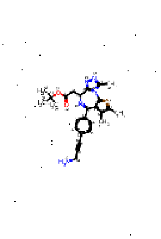 Cc1sc2c(c1C)C(c1ccc(C#CCN)cc1)=NC(CC(=O)OC(C)(C)C)c1nnc(C)n1-2